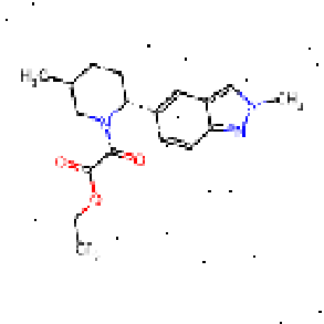 C[C@H]1CC[C@H](c2ccc3nn(C)cc3c2)N(C(=O)C(=O)OCC(F)(F)F)C1